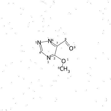 COc1ncnnc1C=O